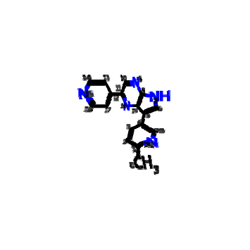 Cc1ccc(-c2c[nH]c3ncc(-c4ccncc4)nc23)cn1